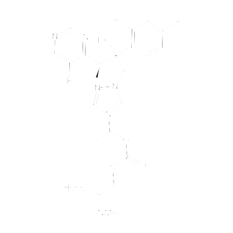 CN[C@@H](CSC(=O)OC(C)[n+]1cnn(CC(O)(c2ccc(F)cc2F)[C@@H](C)c2ncncc2F)c1)C(=O)O